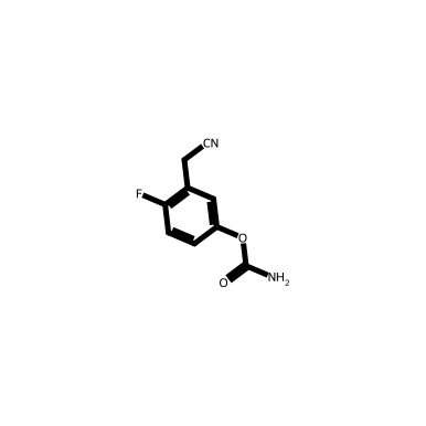 N#CCc1cc(OC(N)=O)ccc1F